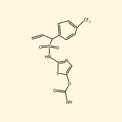 C=CC(c1ccc(C(F)(F)F)cc1)S(=O)(=O)Nc1ncc(OC(=O)CCC)s1